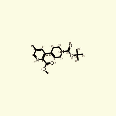 COC(=O)c1ncc(C)cc1C1=CCN(C(=O)OC(C)(C)C)CC1